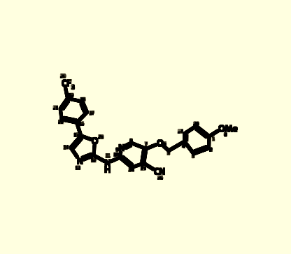 COc1ccc(COc2cnc(Nc3ncc(-c4ccc(C(F)(F)F)cc4)o3)cc2C#N)cc1